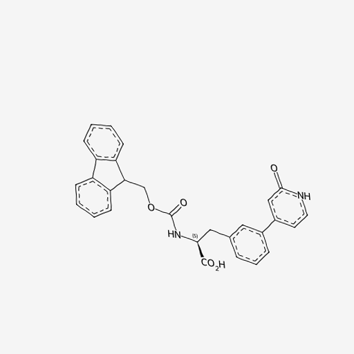 O=C(N[C@@H](Cc1cccc(-c2cc[nH]c(=O)c2)c1)C(=O)O)OCC1c2ccccc2-c2ccccc21